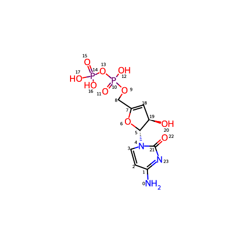 Nc1ccn([C@@H]2OC(COP(=O)(O)OP(=O)(O)O)=C[C@H]2O)c(=O)n1